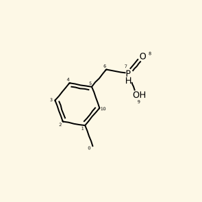 Cc1cccc(C[PH](=O)O)c1